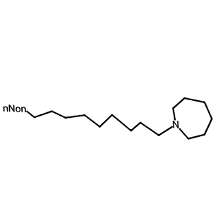 CCCCCCCCCCCCCCCCCCN1CCCCCC1